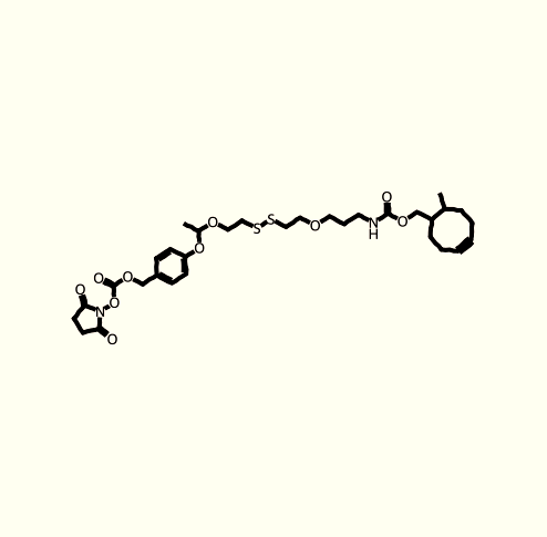 CC(OCCSSCCOCCCNC(=O)OCC1CCC#CCCC1C)Oc1ccc(COC(=O)ON2C(=O)CCC2=O)cc1